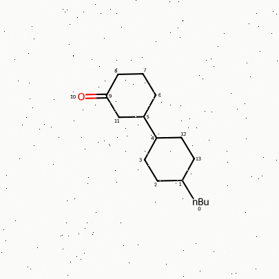 CCCCC1CCC(C2CCCC(=O)C2)CC1